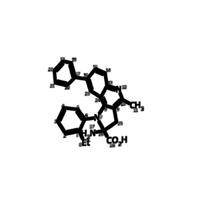 CCc1ccccc1N1c2c(c(C)nc3ccc(-c4ccccc4)cc23)CC1(N)C(=O)O